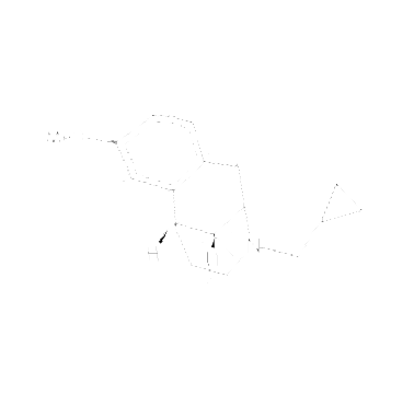 COc1ccc2c(c1)[C@H]1CCN(CC3CC3)C(C2)[C@@H]1C